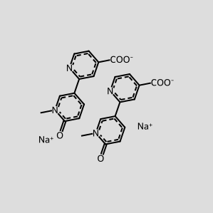 Cn1cc(-c2cc(C(=O)[O-])ccn2)ccc1=O.Cn1cc(-c2cc(C(=O)[O-])ccn2)ccc1=O.[Na+].[Na+]